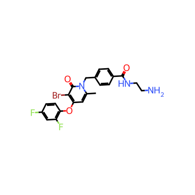 Cc1cc(Oc2ccc(F)cc2F)c(Br)c(=O)n1Cc1ccc(C(=O)NCCN)cc1